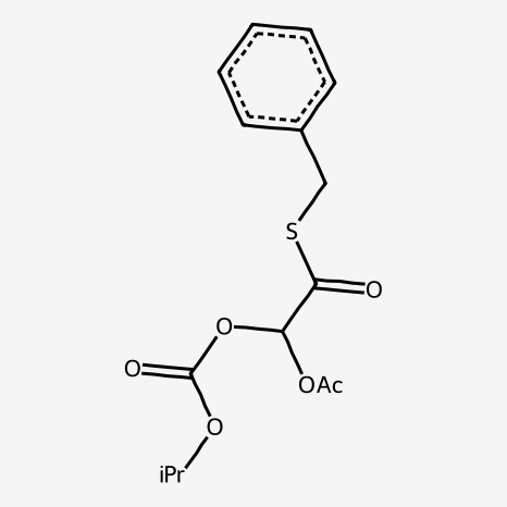 CC(=O)OC(OC(=O)OC(C)C)C(=O)SCc1ccccc1